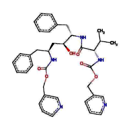 CC(C)[C@H](NC(=O)OCc1cccnc1)C(=O)N[C@@H](Cc1ccccc1)[C@@H](O)C[C@H](Cc1ccccc1)NC(=O)OCc1cccnc1